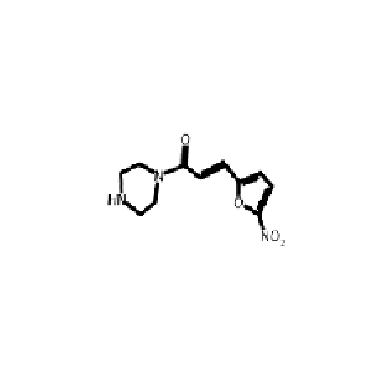 O=C(/C=C/c1ccc([N+](=O)[O-])o1)N1CCNCC1